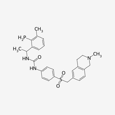 Cc1cccc(C(C)NC(=O)Nc2ccc(S(=O)(=O)Cc3ccc4c(c3)CCN(C)C4)cc2)c1P